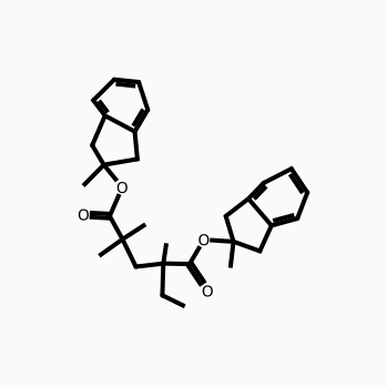 CCC(C)(CC(C)(C)C(=O)OC1(C)Cc2ccccc2C1)C(=O)OC1(C)Cc2ccccc2C1